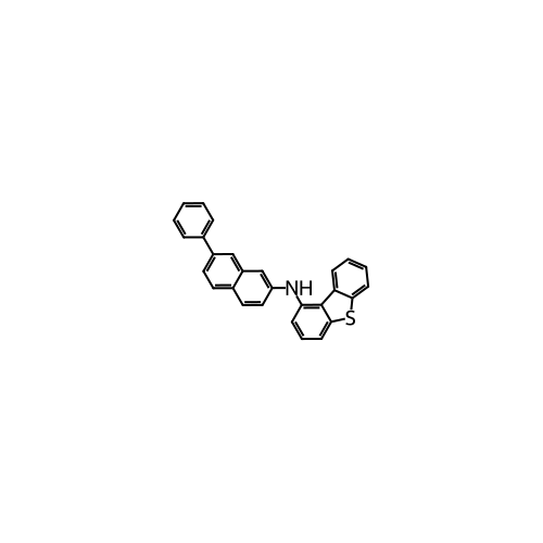 c1ccc(-c2ccc3ccc(Nc4cccc5sc6ccccc6c45)cc3c2)cc1